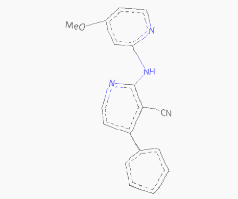 COc1ccnc(Nc2nccc(-c3ccccc3)c2C#N)c1